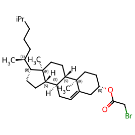 CC(C)CCC[C@H](C)[C@H]1CC[C@H]2[C@@H]3CC=C4C[C@@H](OC(=O)CBr)CC[C@]4(C)[C@H]3CC[C@]12C